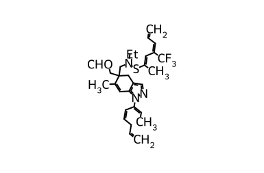 C=C/C=C(\C=C(/C)SN(CC)CC1(CC=O)Cc2cnn(C(/C=C\CC=C)=C/C)c2C=C1C)C(F)(F)F